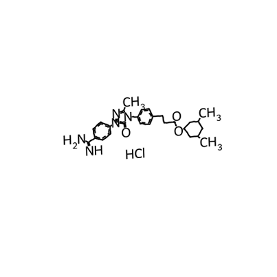 Cc1nn(-c2ccc(C(=N)N)cc2)c(=O)n1-c1ccc(CCC(=O)OC2CC(C)CC(C)C2)cc1.Cl